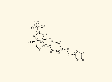 CCS(=O)(=O)N1C[C@H]2CC=C(c3ccc(CCN4CCCC4)cc3)[C@H]2C1